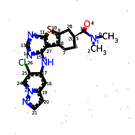 CN(C)C(=O)[C@H]1CCc2c(sc3ncnc(Nc4cc5ccnn5cc4Cl)c23)C1